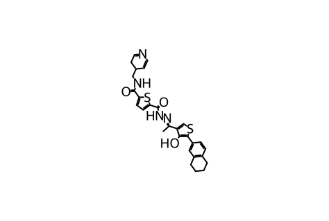 C/C(=N\NC(=O)c1ccc(C(=O)NCC2C=CN=CC2)s1)c1csc(-c2ccc3c(c2)CCCC3)c1O